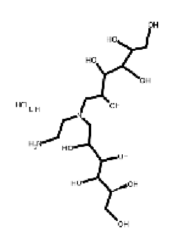 Cl.Cl.NCCN(CC(O)C(O)C(O)C(O)CO)CC(O)C(O)C(O)[C@@H](O)CO